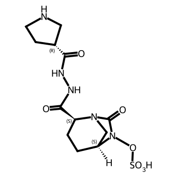 O=C(NNC(=O)[C@@H]1CC[C@H]2CN1C(=O)N2OS(=O)(=O)O)[C@@H]1CCNC1